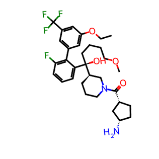 CCOc1cc(-c2c(F)cccc2[C@](O)(CCCCOC)[C@@H]2CCCN(C(=O)[C@@H]3CC[C@H](N)C3)C2)cc(C(F)(F)F)c1